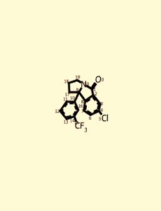 O=C1c2cc(Cl)ccc2C2(c3cccc(C(F)(F)F)c3)CCCN12